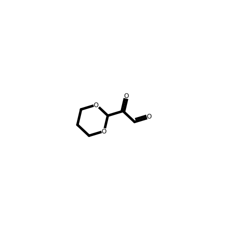 O=CC(=O)C1OCCCO1